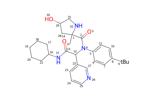 CC1(C(=O)N(c2ccc(C(C)(C)C)cc2)C(C(=O)NC2CCCCC2)c2cccnc2)CC(O)CN1